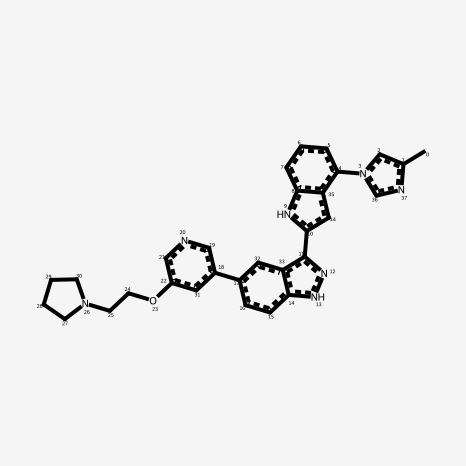 Cc1cn(-c2cccc3[nH]c(-c4n[nH]c5ccc(-c6cncc(OCCN7CCCC7)c6)cc45)cc23)cn1